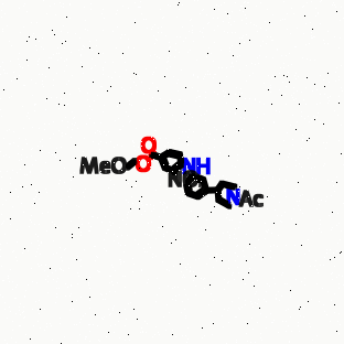 COCCOC(=O)c1ccc(Nc2cccc(C3CCN(C(C)=O)CC3)c2)c([N+](=O)[O-])c1